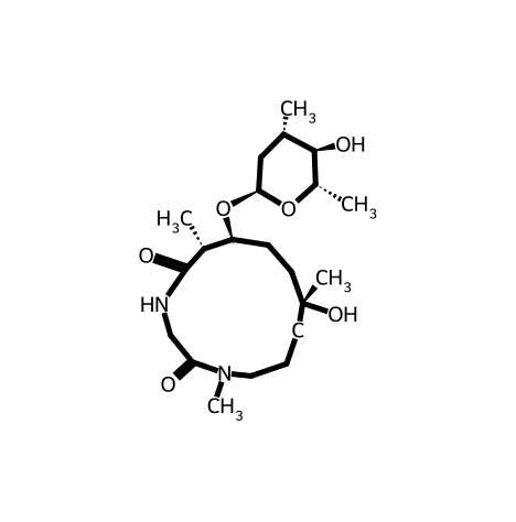 C[C@@H]1O[C@@H](O[C@H]2CC[C@](C)(O)CCCN(C)C(=O)CNC(=O)[C@@H]2C)C[C@H](C)[C@H]1O